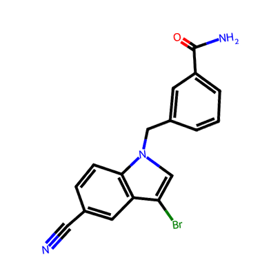 N#Cc1ccc2c(c1)c(Br)cn2Cc1cccc(C(N)=O)c1